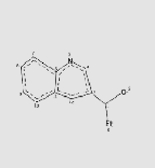 CCC([O])c1cnc2ccccc2c1